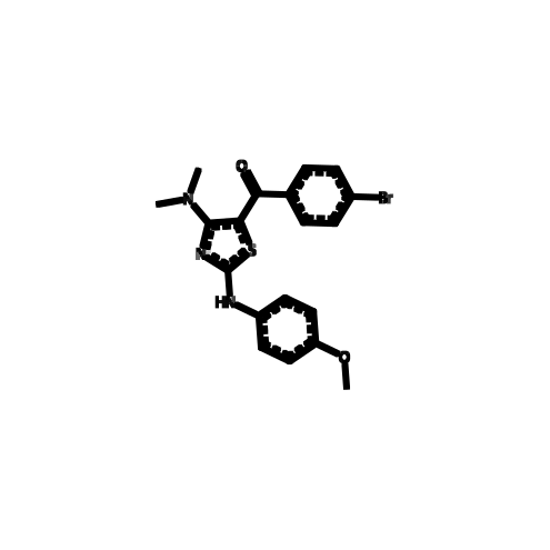 COc1ccc(Nc2nc(N(C)C)c(C(=O)c3ccc(Br)cc3)s2)cc1